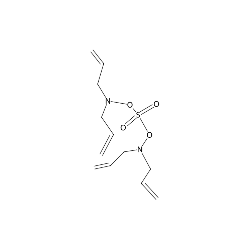 C=CCN(CC=C)OS(=O)(=O)ON(CC=C)CC=C